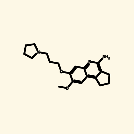 COc1cc2c3c(c(N)nc2cc1OCCCN1CCCC1)CCC3